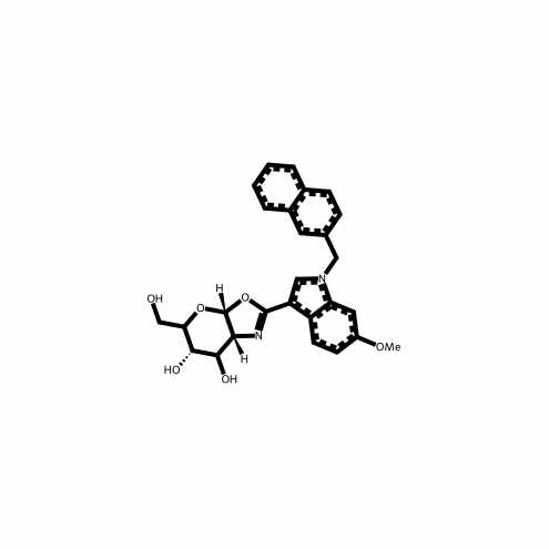 COc1ccc2c(C3=N[C@@H]4C(O)[C@H](O)C(CO)O[C@@H]4O3)cn(Cc3ccc4ccccc4c3)c2c1